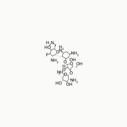 NC[C@@H]1O[C@H](O[C@H]2[C@@H](O)[C@H](O[C@@H]3[C@@H](O)[C@H](N)C[C@H](N)[C@H]3C[C@H]3O[C@H](CN)[C@H](O)[C@H](F)[C@H]3N)O[C@@H]2CO)[C@H](N)[C@@H](O)[C@@H]1O